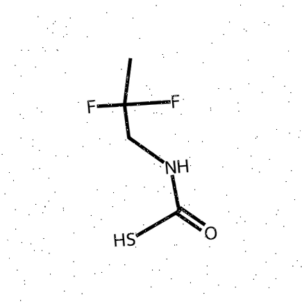 CC(F)(F)CNC(=O)S